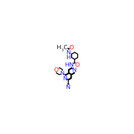 CC(=O)N[C@@H]1CCCC(C(=O)Nc2cc3c(N4CCOCC4)nc(C#N)cc3cn2)C1